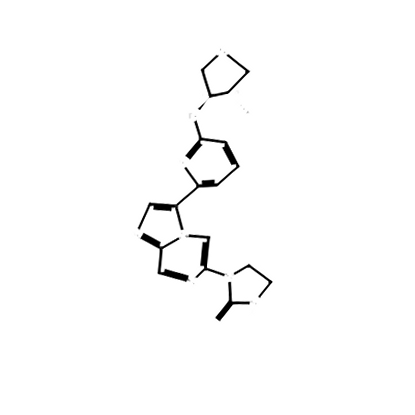 O=C1NCCN1c1cn2c(-c3cccc(N[C@H]4CNC[C@@H]4F)n3)cnc2cn1